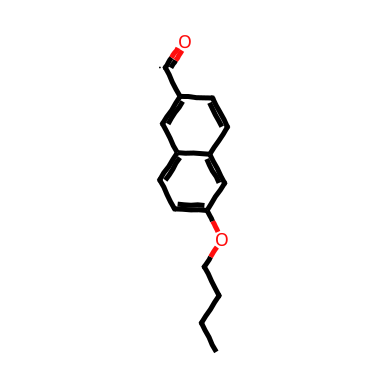 CCCCOc1ccc2cc([C]=O)ccc2c1